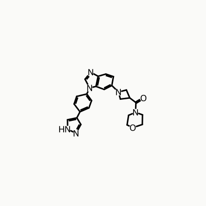 O=C(C1CN(c2ccc3ncn(-c4ccc(-c5cn[nH]c5)cc4)c3c2)C1)N1CCOCC1